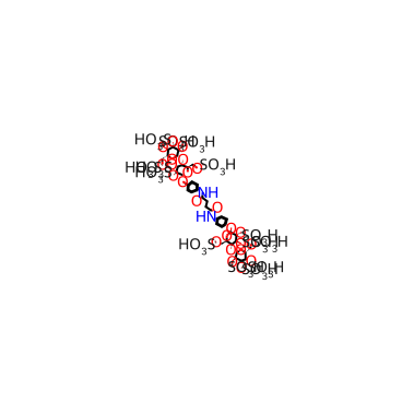 O=C(CCC(=O)Nc1ccc(O[C@@H]2O[C@H](COS(=O)(=O)O)[C@@H](O[C@@H]3O[C@H](COS(=O)(=O)O)[C@@H](OS(=O)(=O)O)[C@H](OS(=O)(=O)O)[C@H]3OS(=O)(=O)O)[C@H](OS(=O)(=O)O)[C@H]2OS(=O)(=O)O)cc1)Nc1ccc(O[C@@H]2O[C@H](COS(=O)(=O)O)[C@@H](O[C@@H]3O[C@H](COS(=O)(=O)O)[C@@H](OS(=O)(=O)O)[C@H](OS(=O)(=O)O)[C@H]3OS(=O)(=O)O)[C@H](OS(=O)(=O)O)[C@H]2OS(=O)(=O)O)cc1